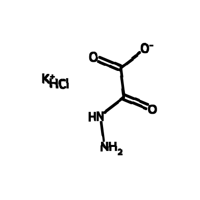 Cl.NNC(=O)C(=O)[O-].[K+]